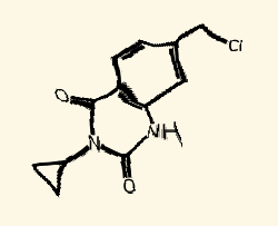 O=c1[nH]c2cc(CCl)ccc2c(=O)n1C1CC1